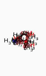 CC[C@H]1OC(=O)[C@H](C)[C@@H](O[C@H]2C[C@@](C)(OC)[C@@H](O)[C@H](C)O2)[C@H](C)[C@@H](O[C@@H]2O[C@H](C)C[C@H](N(C)C)[C@H]2O)[C@@](C)(O)C[C@@H](C)C(=O)[C@H](C)[C@@H](O)[C@]1(C)O